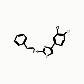 Clc1ccc(-c2csc(NCCc3ccccc3)n2)cc1Cl